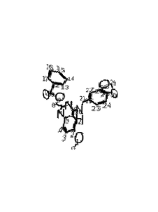 COc1ccc2nc(COC(=O)c3ccccc3)nc(NCc3ccc4c(c3)OCO4)c2c1